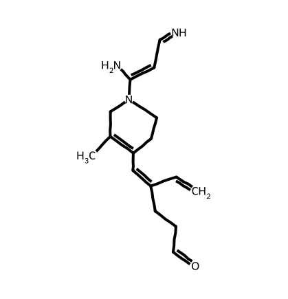 C=C/C(=C\C1=C(C)CN(/C(N)=C/C=N)CC1)CCC=O